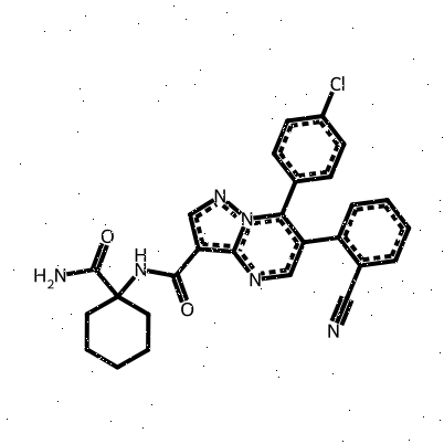 N#Cc1ccccc1-c1cnc2c(C(=O)NC3(C(N)=O)CCCCC3)cnn2c1-c1ccc(Cl)cc1